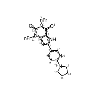 CCCn1c(=O)c2[nH]c(-c3ccc(N4CCCC4)nc3)nc2n(CCC)c1=O